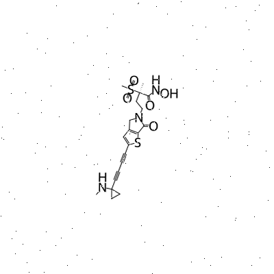 CNC1(C#CC#Cc2cc3c(s2)C(=O)N(CC[C@](C)(C(=O)NO)S(C)(=O)=O)C3)CC1